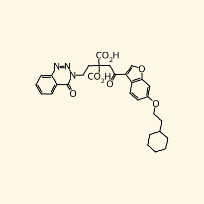 O=C(CC(CCn1nnc2ccccc2c1=O)(C(=O)O)C(=O)O)c1coc2cc(OCCC3CCCCC3)ccc12